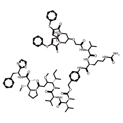 CCC(C)[C@@H](C(CC(=O)N1CCC[C@H]1[C@H](OC)[C@@H](C)C(=O)N[C@@H](Cc1ccccc1)c1nccs1)OC)N(C)C(=O)[C@@H](NC(=O)[C@H](C(C)C)N(C)C(=O)OCc1ccc(NC(=O)[C@H](CCCNC(N)=O)NC(=O)[C@@H](NC(=O)COC(CN2C(=O)C=C(Sc3ccccc3)C2=O)CN2C(=S)C(Sc3ccccc3)=CC2O)C(C)C)cc1)C(C)C